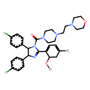 CCOC1CC(C(F)(F)F)=CC=C1C1=NC(c2ccc(Cl)cc2)C(c2ccc(Cl)cc2)N1C(=O)N1CCN(CCN2CCOCC2)CC1